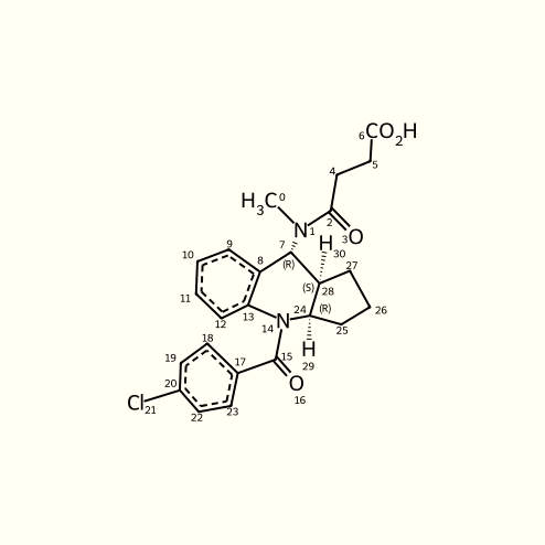 CN(C(=O)CCC(=O)O)[C@H]1c2ccccc2N(C(=O)c2ccc(Cl)cc2)[C@@H]2CCC[C@@H]21